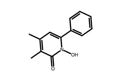 Cc1cc(-c2ccccc2)n(O)c(=O)c1C